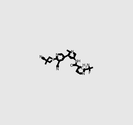 Cc1ncc(NC(=O)c2ccnc(C(C)(N)F)c2)cc1-c1cnc(N2CC(C)(C#N)C2)c(C#N)c1